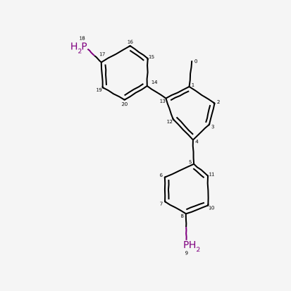 Cc1ccc(-c2ccc(P)cc2)cc1-c1ccc(P)cc1